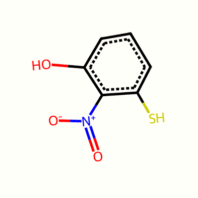 O=[N+]([O-])c1c(O)cccc1S